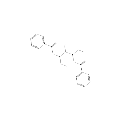 CCC(OC(=O)c1ccccc1)C(Br)C(CC)OC(=O)c1ccccc1